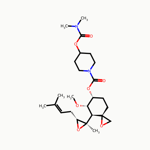 CO[C@@H]1[C@H](OC(=O)N2CCC(OC(=O)N(C)C)CC2)CC[C@]2(CO2)[C@H]1[C@@]1(C)O[C@@H]1CC=C(C)C